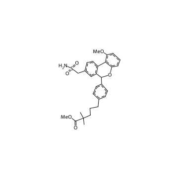 COC(=O)C(C)(C)CCCc1ccc(C2Oc3cccc(OC)c3-c3ccc(CS(N)(=O)=O)cc32)cc1